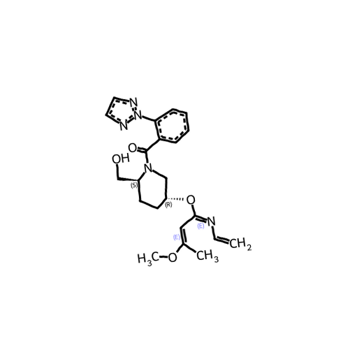 C=C/N=C(\C=C(/C)OC)O[C@@H]1CC[C@@H](CO)N(C(=O)c2ccccc2-n2nccn2)C1